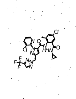 Cc1cc(Cl)cc(C(=O)NC2CC2)c1NC(=O)c1cc(Cn2ncc(C(F)(F)F)n2)nn1-c1ncccc1Cl